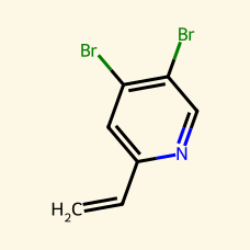 C=Cc1cc(Br)c(Br)cn1